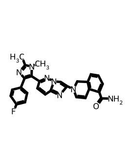 Cc1nc(-c2ccc(F)cc2)c(-c2ccc3nc(N4C=Cc5c(cccc5C(N)=O)C4)cn3n2)n1C